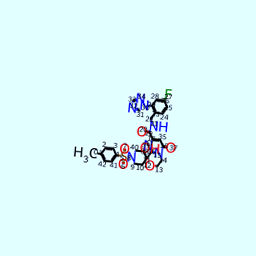 Cc1ccc(S(=O)(=O)N2CCC3(OCCn4c3nc(C(=O)NCc3ccc(F)cc3-n3cncn3)cc4=O)C(O)C2)cc1